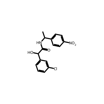 CC(NC(=O)C(O)c1cccc(Cl)c1)c1ccc([N+](=O)[O-])cc1